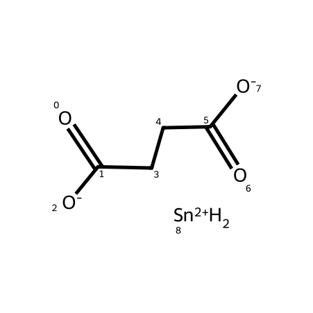 O=C([O-])CCC(=O)[O-].[SnH2+2]